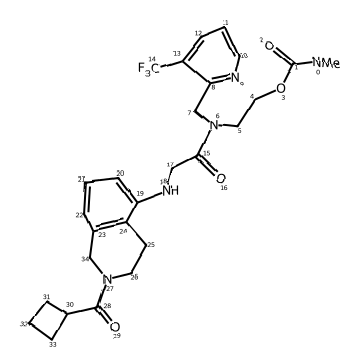 CNC(=O)OCCN(Cc1ncccc1C(F)(F)F)C(=O)CNc1cccc2c1CCN(C(=O)C1CCC1)C2